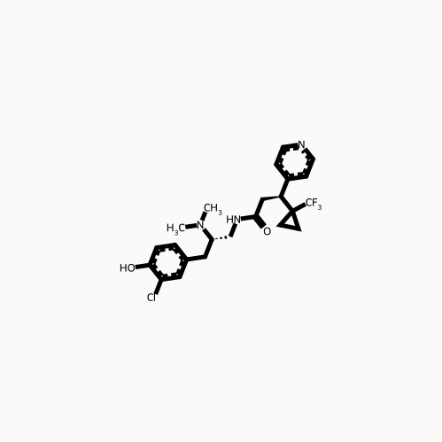 CN(C)[C@H](CNC(=O)C[C@@H](c1ccncc1)C1(C(F)(F)F)CC1)Cc1ccc(O)c(Cl)c1